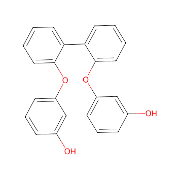 Oc1cccc(Oc2ccccc2-c2ccccc2Oc2cccc(O)c2)c1